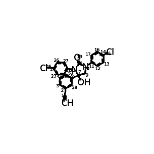 C#Cc1cccc(C2(O)CN(c3ccc(Cl)cc3)C(=O)N2c2ccc(Cl)cc2)c1